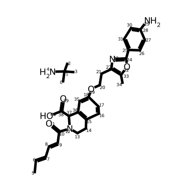 CC(C)(C)N.CC=CC=CC(=O)N1CCc2ccc(OCCc3nc(-c4ccc(N)cc4)oc3C)cc2C1C(=O)O